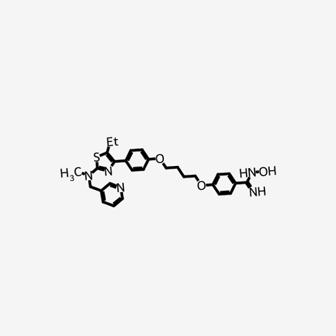 CCc1sc(N(C)Cc2cccnc2)nc1-c1ccc(OCCCCOc2ccc(C(=N)NO)cc2)cc1